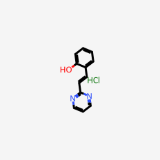 Cl.Oc1ccccc1C=Cc1ncccn1